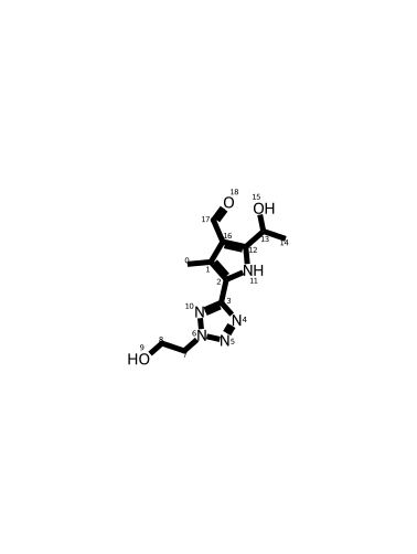 Cc1c(-c2nnn(CCO)n2)[nH]c(C(C)O)c1C=O